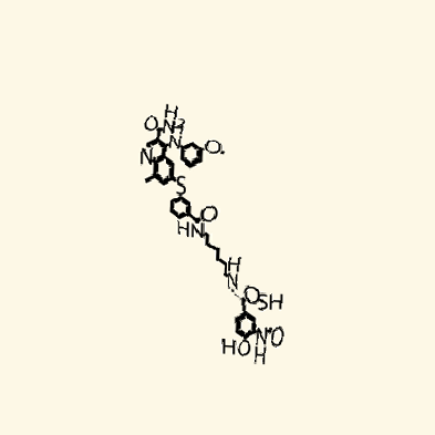 COc1cccc(Nc2c(C(N)=O)cnc3c(C)cc(Sc4cccc(C(=O)NCCCCCCNC[C@H](OS)c5ccc(O)c(NC=O)c5)c4)cc23)c1